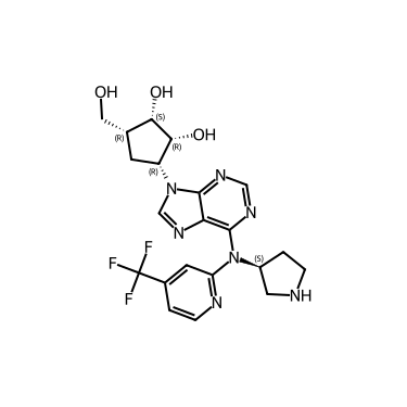 OC[C@H]1C[C@@H](n2cnc3c(N(c4cc(C(F)(F)F)ccn4)[C@H]4CCNC4)ncnc32)[C@@H](O)[C@H]1O